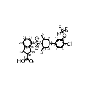 CC1CN(c2ccc(Cl)c(OC(F)(F)F)c2)CC(C)N1S(=O)(=O)c1cccc2c1CC(C(=O)O)C2